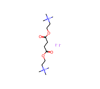 C[N+](C)(C)CCOC(=O)CCC(=O)OCC[N+](C)(C)C.[I-].[I-]